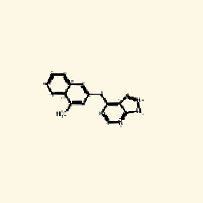 Cc1cc(Cc2ccnc3[nH]ncc23)cc2ccccc12